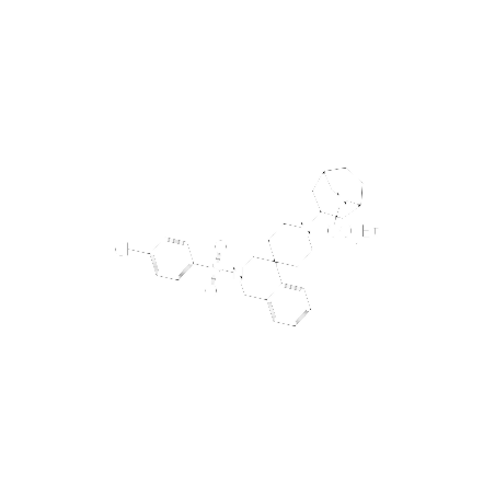 CCOC(=O)N1CC2CCC1CC(N1CCC3(CC1)CN(S(=O)(=O)c1ccc(Cl)cc1)Cc1ccccc13)C2